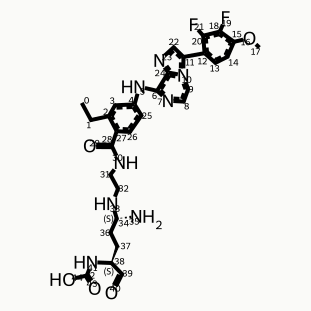 CCc1cc(Nc2nccn3c(-c4ccc(OC)c(F)c4F)cnc23)ccc1C(=O)NCCN[C@H](N)CC[C@@H](C=O)NC(=O)O